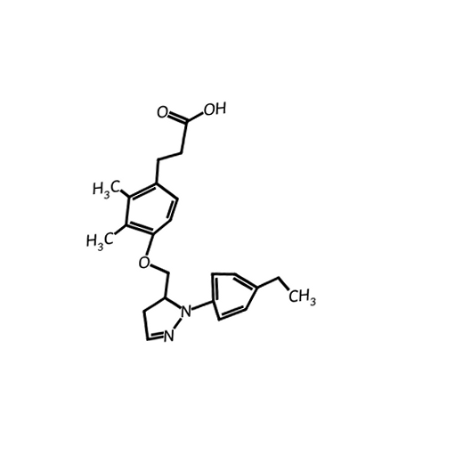 CCc1ccc(N2N=CCC2COc2ccc(CCC(=O)O)c(C)c2C)cc1